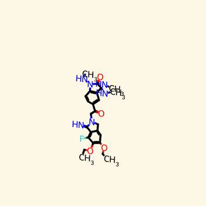 CCOc1cc2c(c(F)c1OCC)C(=N)N(CC(=O)c1ccc3c(c1)C(NC)(NC)C(=O)N3NC)C2